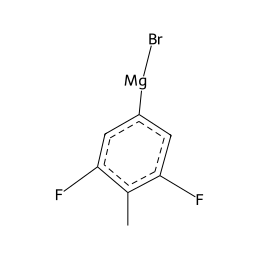 Cc1c(F)c[c]([Mg][Br])cc1F